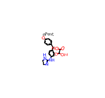 CCCCCOc1ccc(Cc2ccc(NC3=NCCN3)cc2)cc1.O=C(O)C(=O)O